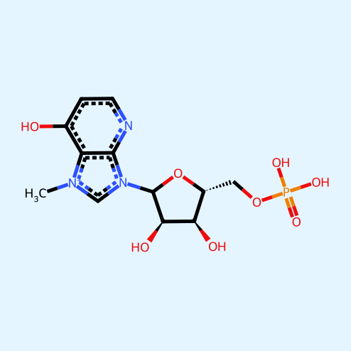 C[n+]1cn(C2O[C@H](COP(=O)(O)O)[C@@H](O)[C@H]2O)c2nccc(O)c21